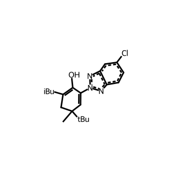 CCC(C)C1=C(O)C(n2nc3ccc(Cl)cc3n2)=CC(C)(C(C)(C)C)C1